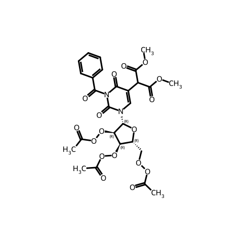 COC(=O)C(C(=O)OC)c1cn([C@@H]2O[C@H](COOC(C)=O)[C@@H](OOC(C)=O)[C@H]2OOC(C)=O)c(=O)n(C(=O)c2ccccc2)c1=O